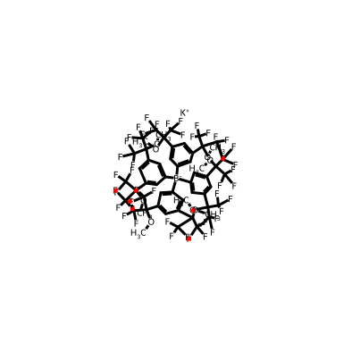 COC(c1cc([B-](c2cc(C(OC)(C(F)(F)F)C(F)(F)F)cc(C(OC)(C(F)(F)F)C(F)(F)F)c2)(c2cc(C(OC)(C(F)(F)F)C(F)(F)F)cc(C(OC)(C(F)(F)F)C(F)(F)F)c2)c2cc(C(OC)(C(F)(F)F)C(F)(F)F)cc(C(OC)(C(F)(F)F)C(F)(F)F)c2)cc(C(OC)(C(F)(F)F)C(F)(F)F)c1)(C(F)(F)F)C(F)(F)F.[K+]